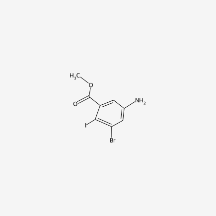 COC(=O)c1cc(N)cc(Br)c1I